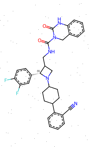 N#Cc1ccccc1C1CCC(N2CC(CNC(=O)N3Cc4ccccc4NC3=O)[C@H]2c2ccc(F)c(F)c2)CC1